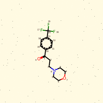 O=C(CCN1CCOCC1)c1ccc(C(F)(F)F)cc1